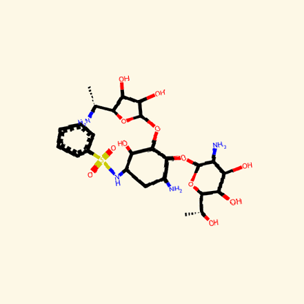 C[C@@H](N)C1OC(OC2C(O)C(NS(=O)(=O)c3ccccc3)CC(N)C2OC2OC([C@@H](C)O)C(O)C(O)C2N)C(O)C1O